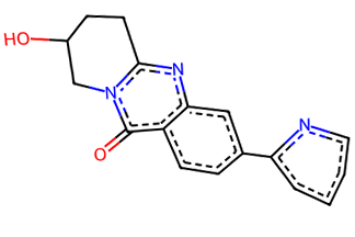 O=c1c2ccc(-c3ccccn3)cc2nc2n1CC(O)CC2